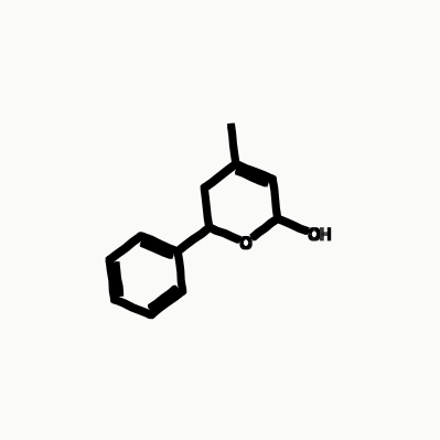 CC1=CC(O)OC(c2ccccc2)C1